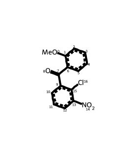 COc1ccccc1C(=O)c1cccc([N+](=O)[O-])c1Cl